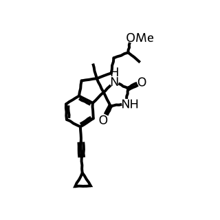 COC(C)CCC1(C)Cc2ccc(C#CC3CC3)cc2C12NC(=O)NC2=O